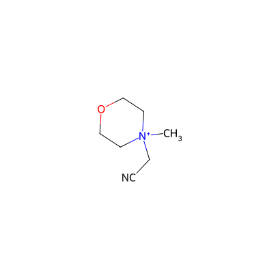 C[N+]1(CC#N)CCOCC1